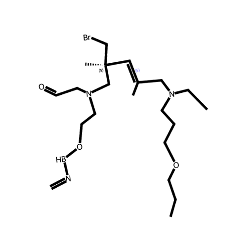 C=NBOCCN(CC=O)C[C@](C)(/C=C(\C)CN(CC)CCCOCCC)CBr